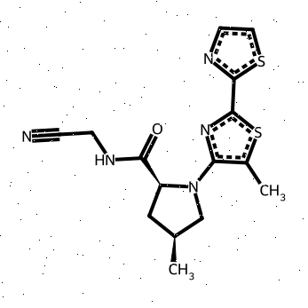 Cc1sc(-c2nccs2)nc1N1C[C@@H](C)C[C@H]1C(=O)NCC#N